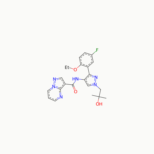 CCOc1ccc(F)cc1-c1nn(CC(C)(C)O)cc1NC(=O)c1cnn2cccnc12